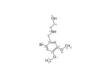 COc1cc(Br)c(CNCCO)cc1OC